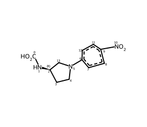 O=C(O)N[C@@H]1CCN(c2ccc([N+](=O)[O-])cc2)C1